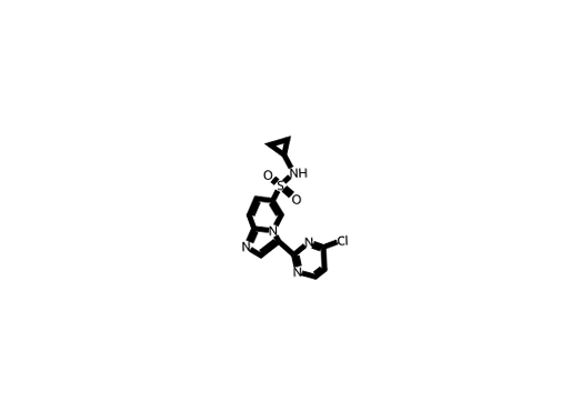 O=S(=O)(NC1CC1)c1ccc2ncc(-c3nccc(Cl)n3)n2c1